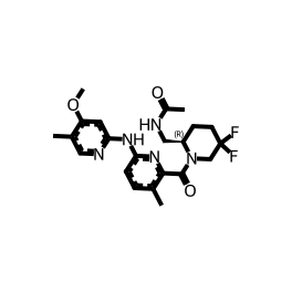 COc1cc(Nc2ccc(C)c(C(=O)N3CC(F)(F)CC[C@@H]3CNC(C)=O)n2)ncc1C